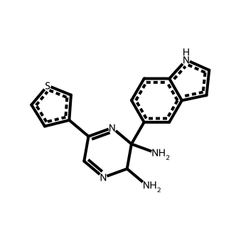 NC1N=CC(c2ccsc2)=NC1(N)c1ccc2[nH]ccc2c1